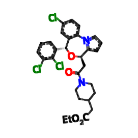 CCOC(=O)CC1CCN(C(=O)C[C@H]2O[C@H](c3cccc(Cl)c3Cl)c3cc(Cl)ccc3-n3cccc32)CC1